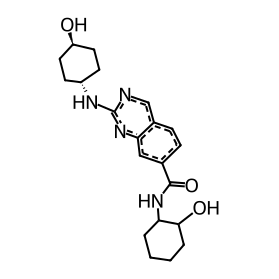 O=C(NC1CCCCC1O)c1ccc2cnc(N[C@H]3CC[C@H](O)CC3)nc2c1